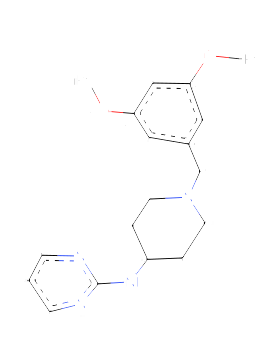 CC(C)Oc1cc(CN2CCC(Nc3ncccn3)CC2)cc(OC(C)C)c1